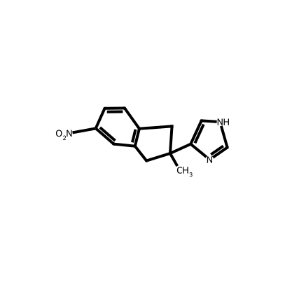 CC1(c2c[nH]cn2)Cc2ccc([N+](=O)[O-])cc2C1